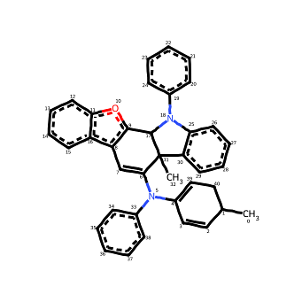 CC1C=CC(N(C2=Cc3c(oc4ccccc34)C3N(c4ccccc4)c4ccccc4C23C)c2ccccc2)=CC1